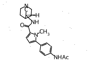 CC(=O)Nc1ccc(-c2ccc(C(=O)N[C@H]3CN4CCC3CC4)n2C)cc1